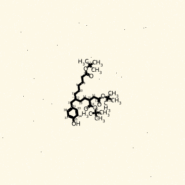 CC(C)(C)OC(=O)CCCCCC(CCC(CC(=O)OC(C)(C)C)C(=O)OC(C)(C)C)Cc1ccc(O)cc1